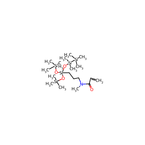 C=CC(=O)N(C)CCC[Si](O[Si](C)(C)C)(O[Si](C)(C)C)O[Si](C)(C)[Si](C)(C)C